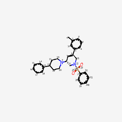 Cc1cccc(C(=CCN2CCC(c3ccccc3)CC2)CN(C)S(=O)(=O)c2ccccc2)c1